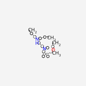 C=CC1=CC=C(OCC(C)CCCCC2(c3ccccc3)C3=CC(N(C4=CCC(C5=CC(c6cc(-c7ccc(C=C)cc7)ccc6NC6C=CC(c7ccc(C=C)cc7)CC6)CC=C5)C=C4)c4ccccc4)CC=C3c3ccccc32)CC1